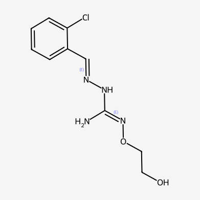 N/C(=N\OCCO)N/N=C/c1ccccc1Cl